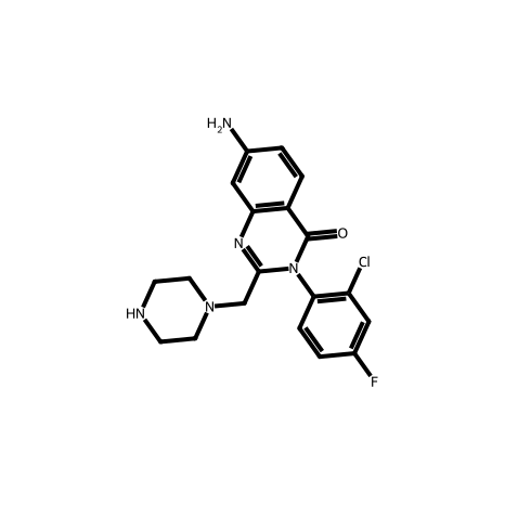 Nc1ccc2c(=O)n(-c3ccc(F)cc3Cl)c(CN3CCNCC3)nc2c1